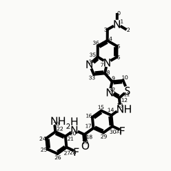 CN(C)Cc1ccn2c(-c3csc(Nc4ccc(C(=O)Nc5c(N)cccc5F)cc4F)n3)cnc2c1